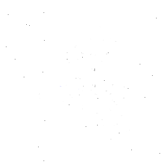 C=C/C(C(=C)/C=C\CC)=C(/N=C(\N)[C@@H]1CCCN1C(=O)OC(C)(C)C)NC(=O)[C@@H]1CCCN1C(=O)OC(C)(C)C